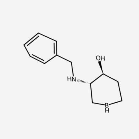 O[C@H]1CCBC[C@@H]1NCc1ccccc1